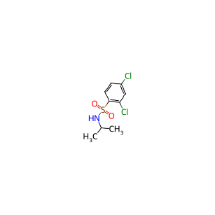 CC(C)NS(=O)(=O)c1ccc(Cl)cc1Cl